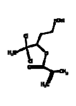 C=C(C)C(=O)OC(CCCCCCCCCC)C([SiH3])(Cl)Cl